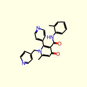 Cc1ccccc1NC(=O)c1c(-c2ccncc2)n(Cc2ccncc2)c(C)cc1=O